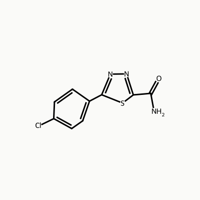 NC(=O)c1nnc(-c2ccc(Cl)cc2)s1